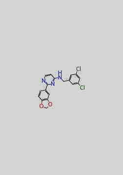 Clc1cc(Cl)cc(CNc2ccnc(-c3ccc4c(c3)OCO4)n2)c1